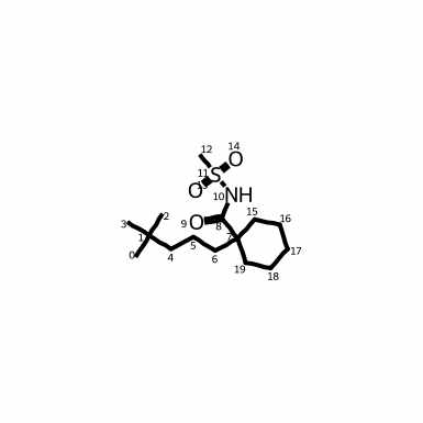 CC(C)(C)CCCC1(C(=O)NS(C)(=O)=O)CCCCC1